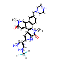 Cn1cc(-c2cccc(CN3CCNCC3)c2)c(-c2cn(C)c(=O)c3[nH]c(/C(C=N)=C/NC(F)(F)F)cc23)cc1=O